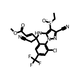 CC[S+]([O-])c1c(C#N)nn2c1NC(/C=C/C(=O)OC)(CC#N)c1cc(C(F)(F)F)cc(Cl)c1-2